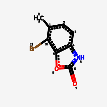 Cc1ccc2[nH]c(=O)oc2c1Br